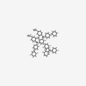 CC(C)(C)c1ccc2c(c1)B1c3cc(C(C)(C)C)ccc3N(c3ccc(-c4ccccc4)cc3)c3cc(-c4ccc5c(c4)c4ccccc4n5-c4ccccc4)cc(c31)N2c1ccc(-c2ccccc2)cc1